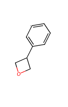 [c]1cccc(C2COC2)c1